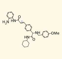 COc1ccc(CNC(C(=O)NC2CCCCC2)c2ccc(/C=C/C(=O)Nc3ccccc3N)cc2)cc1